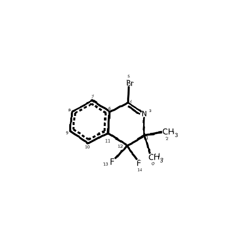 CC1(C)N=C(Br)c2ccccc2C1(F)F